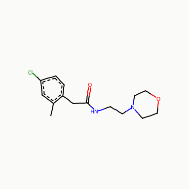 Cc1cc(Cl)ccc1CC(=O)NCCN1CCOCC1